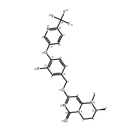 C[C@H]1CCn2c(cc(OCc3ccc(Oc4ccc(C(F)(F)F)nc4)c(F)c3)nc2=O)N1C